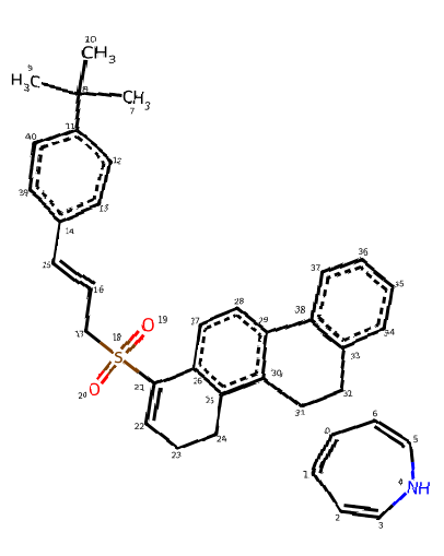 C1=CC=CNC=C1.CC(C)(C)c1ccc(C=CCS(=O)(=O)C2=CCCc3c2ccc2c3CCc3ccccc3-2)cc1